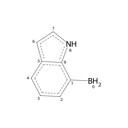 Bc1cccc2cc[nH]c12